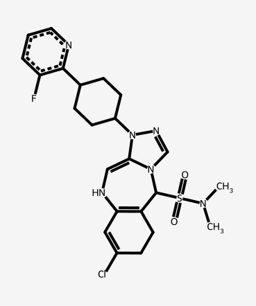 CN(C)S(=O)(=O)C1C2=C(C=C(Cl)CC2)NC=C2N1C=NN2C1CCC(c2ncccc2F)CC1